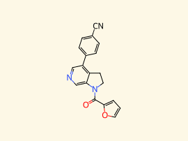 N#Cc1ccc(-c2cncc3c2CCN3C(=O)c2ccco2)cc1